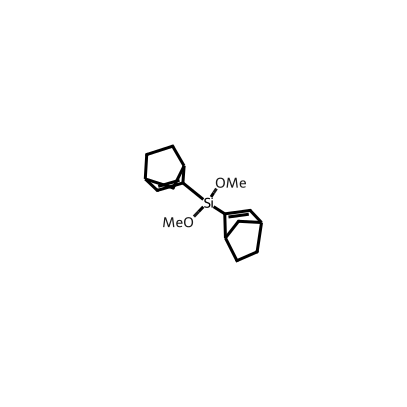 CO[Si](OC)(C1=CC2CCC1C2)C1=CC2CCC1C2